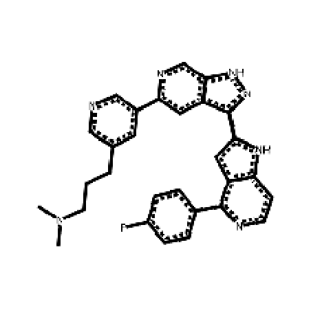 CN(C)CCCc1cncc(-c2cc3c(-c4cc5c(-c6ccc(F)cc6)nccc5[nH]4)n[nH]c3cn2)c1